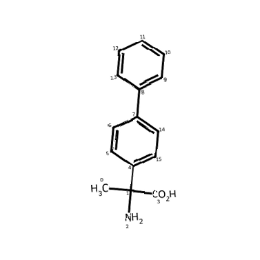 CC(N)(C(=O)O)c1ccc(-c2ccccc2)cc1